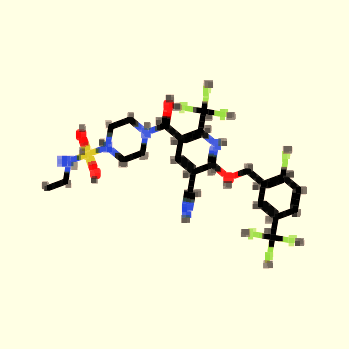 CCNS(=O)(=O)N1CCN(C(=O)c2cc(C#N)c(OCc3cc(C(F)(F)F)ccc3F)nc2C(F)(F)F)CC1